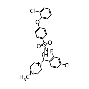 CN1CCN(C(CNS(=O)(=O)c2ccc(Oc3ccccc3Cl)cc2)c2ccc(Cl)cc2F)CC1